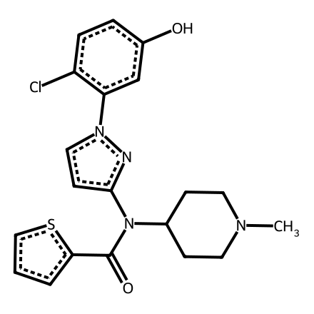 CN1CCC(N(C(=O)c2cccs2)c2ccn(-c3cc(O)ccc3Cl)n2)CC1